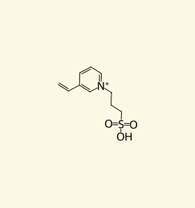 C=Cc1ccc[n+](CCCS(=O)(=O)O)c1